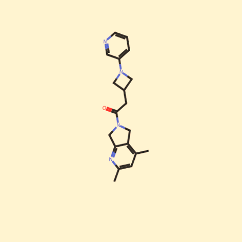 Cc1cc(C)c2c(n1)CN(C(=O)CC1CN(c3cccnc3)C1)C2